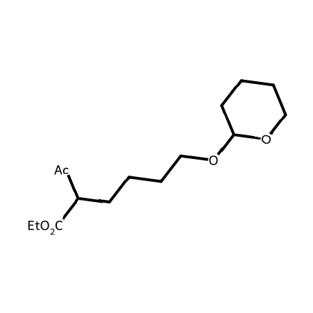 CCOC(=O)C(CCCCOC1CCCCO1)C(C)=O